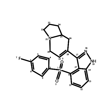 O=S(=O)(c1ccc(F)cc1)c1cccc2[nH]nc(C3=CCN4CCCC4C3)c12